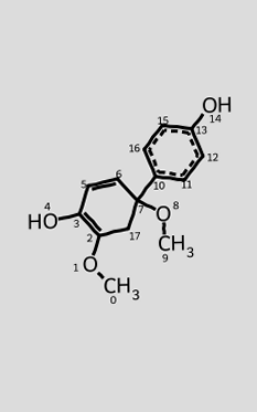 COC1=C(O)C=CC(OC)(c2ccc(O)cc2)C1